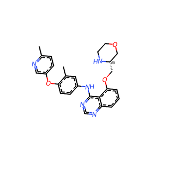 Cc1ccc(Oc2ccc(Nc3ncnc4cccc(OC[C@H]5COCCN5)c34)cc2C)cn1